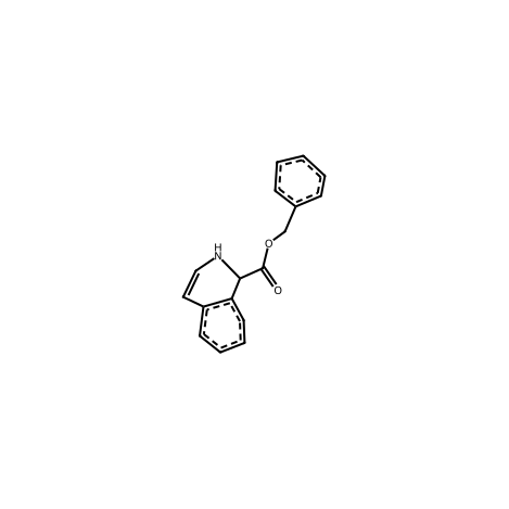 O=C(OCc1ccccc1)C1NC=Cc2ccccc21